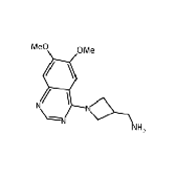 COc1cc2ncnc(N3CC(CN)C3)c2cc1OC